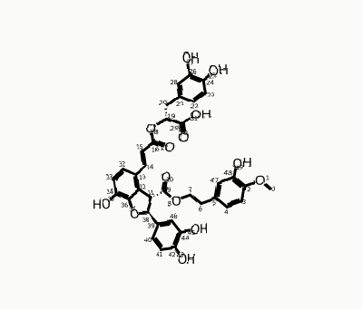 COc1ccc(CCOC(=O)[C@H]2c3c(/C=C/C(=O)O[C@H](Cc4ccc(O)c(O)c4)C(=O)O)ccc(O)c3O[C@@H]2c2ccc(O)c(O)c2)cc1O